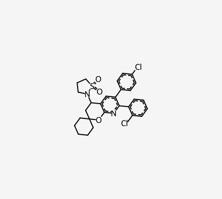 O=S1(=O)CCCN1C1CC2(CCCCC2)Oc2nc(-c3ccccc3Cl)c(-c3ccc(Cl)cc3)cc21